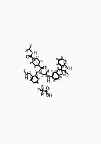 CNCc1ccccc1CN(CC(=O)Nc1ccc2c(c1)CC1(C2)C(=O)Nc2ncccc21)C(=O)C1CCN(C(=O)NC(C)C)CC1.O=C(O)C(F)(F)F